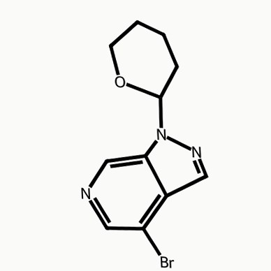 Brc1cncc2c1cnn2C1CCCCO1